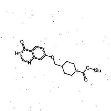 CC(C)(C)OC(=O)N1CCC(COc2ccc3c(=O)[nH]cnc3c2)CC1